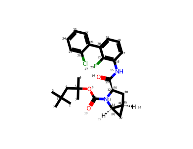 CC(C)(C)CC(C)(C)OC(=O)N1[C@@H](C(=O)Nc2cccc(-c3ccccc3Cl)c2F)C[C@H]2C[C@H]21